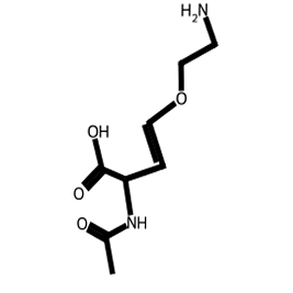 CC(=O)NC(C=COCCN)C(=O)O